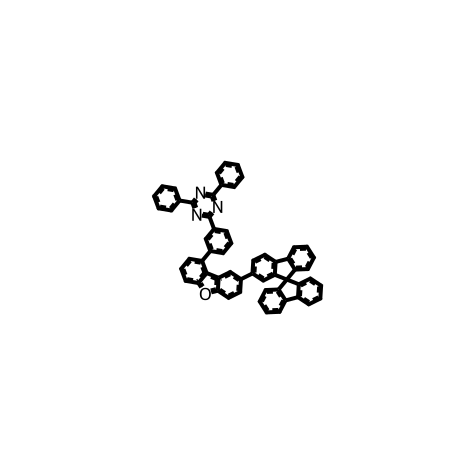 c1ccc(-c2nc(-c3ccccc3)nc(-c3cccc(-c4cccc5oc6ccc(-c7ccc8c(c7)C7(c9ccccc9-c9ccccc97)c7ccccc7-8)cc6c45)c3)n2)cc1